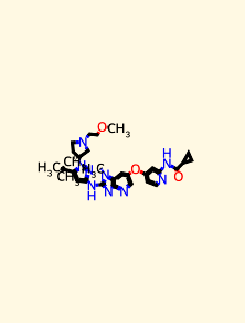 COCCN1CC[C@@H](n2nc(Nc3nc4ncc(Oc5ccnc(NC(=O)C6CC6)c5)cc4n3C)cc2C(C)(C)C)C1